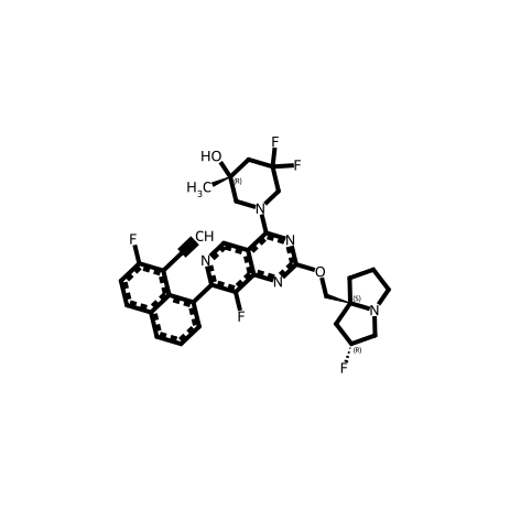 C#Cc1c(F)ccc2cccc(-c3ncc4c(N5CC(F)(F)C[C@@](C)(O)C5)nc(OC[C@@]56CCCN5C[C@H](F)C6)nc4c3F)c12